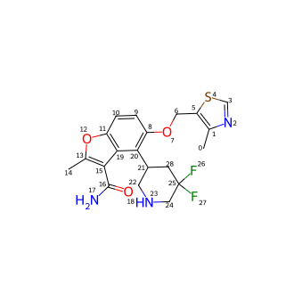 Cc1ncsc1COc1ccc2oc(C)c(C(N)=O)c2c1C1CNCC(F)(F)C1